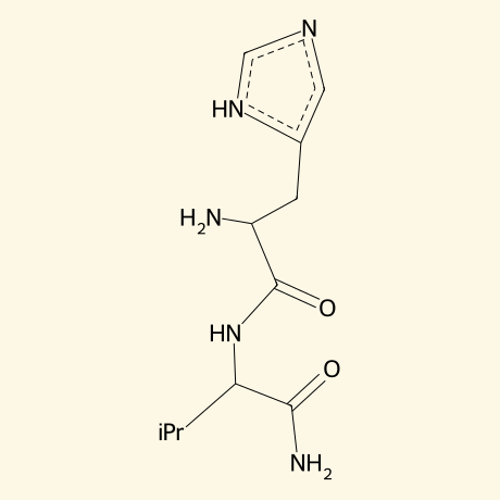 CC(C)C(NC(=O)C(N)Cc1cnc[nH]1)C(N)=O